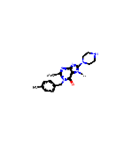 CCn1c(N2CCNCC2)nc2nc(SC)n(Cc3ccc(C#N)cc3)c(=O)c21